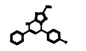 CSc1nc2n(n1)C(c1ccc(F)cc1)C=C(c1ccccc1)N2